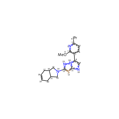 COc1nc(C(C)C)ccc1-c1cnc2sc(N3CC4CC=CCC4C3)nn12